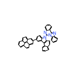 c1ccc2c(c1)ccc1c2c2cc(-c3cc4ccc5cccc6ccc(c3)c4c56)ccc2n1-c1nc2ccccc2c2nc3ccccc3n12